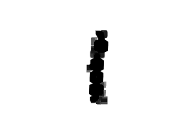 CC(O)c1ccc(C2CCC(c3ccc(C(=O)Oc4ccc(C5CO5)c(F)c4F)cc3F)CC2)c(F)c1F